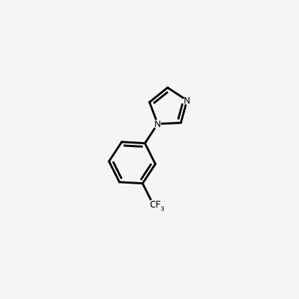 FC(F)(F)c1cccc(-n2ccnc2)c1